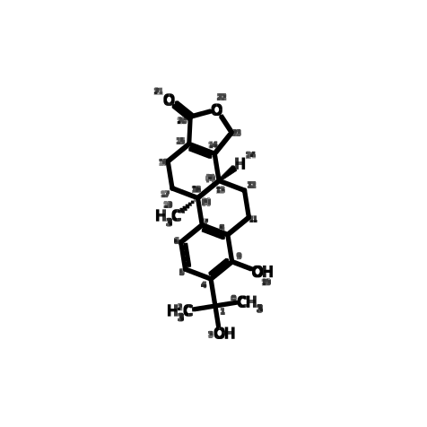 CC(C)(O)c1ccc2c(c1O)CC[C@H]1C3=C(CC[C@]21C)C(=O)OC3